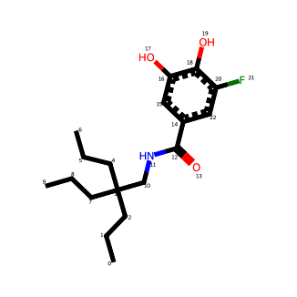 CCCC(CCC)(CCC)CNC(=O)c1cc(O)c(O)c(F)c1